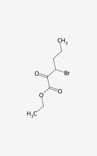 CCCC(Br)C(=O)C(=O)OCC